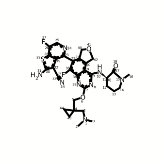 CN(C)CC1(COc2nc(N[C@@H]3CCCN(C)C3=O)c3c4c(c(-c5ncc(F)c6sc(N)c(C#N)c56)c(F)c3n2)COC4)CC1